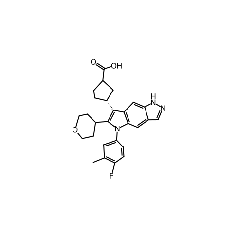 Cc1cc(-n2c(C3CCOCC3)c([C@@H]3CCC(C(=O)O)C3)c3cc4[nH]ncc4cc32)ccc1F